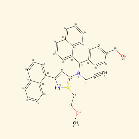 C#CCN(C1=S(CCOC)NC(c2cccc3ccccc23)=C1)C(c1ccc(CO)cc1)c1cccc2ccccc12